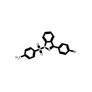 Cc1ccc(S(=O)(=O)n2nc(-c3ccc(Br)cc3)c3ccccc32)cc1